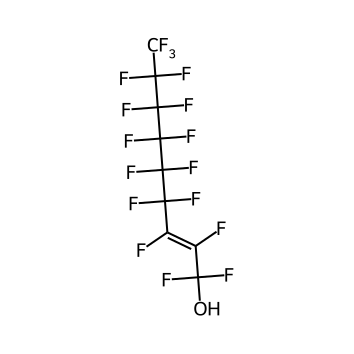 OC(F)(F)C(F)=C(F)C(F)(F)C(F)(F)C(F)(F)C(F)(F)C(F)(F)C(F)(F)F